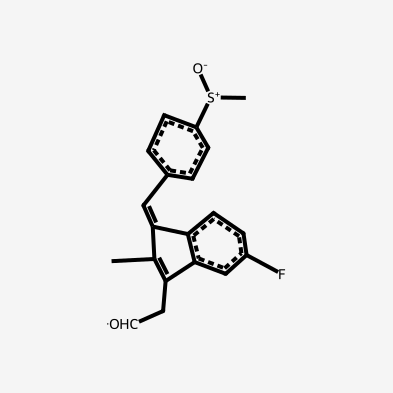 CC1=C(C[C]=O)c2cc(F)ccc2C1=Cc1ccc([S+](C)[O-])cc1